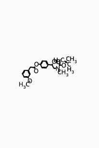 COc1cccc(CC(=O)Oc2ccc(C(O)CN(C)C(=O)OC(C)(C)C)cc2)c1